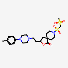 Cc1ccc(N2CCN(CCC3CC4(CCN(S(=O)(=O)CS(C)(=O)=O)CC4)C(=O)O3)CC2)cc1